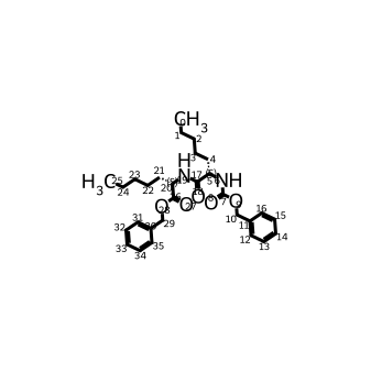 CCCCC[C@H](NC(=O)OCc1ccccc1)C(=O)N[C@@H](CCCCC)C(=O)OCc1ccccc1